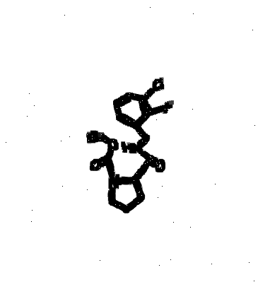 CC(C)(C)OC(=O)N1CCCC1C(=O)NCc1cccc(Cl)c1F